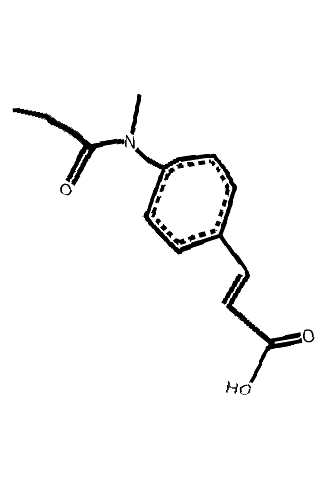 CCC(=O)N(C)c1ccc(C=CC(=O)O)cc1